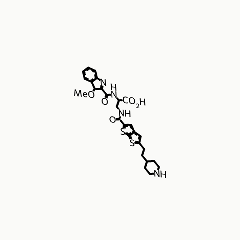 COC1C(C(=O)NC(CNC(=O)c2cc3cc(CCC4CCNCC4)sc3s2)C(=O)O)=Nc2ccccc21